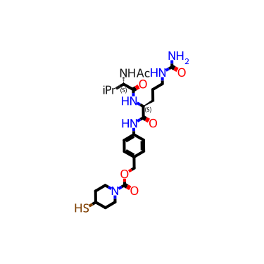 CC(=O)N[C@H](C(=O)N[C@@H](CCCNC(N)=O)C(=O)Nc1ccc(COC(=O)N2CCC(S)CC2)cc1)C(C)C